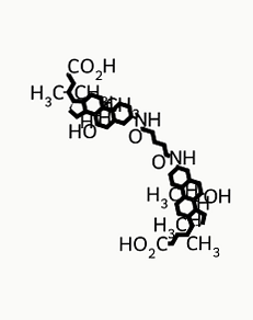 C[C@H](CCC(=O)O)[C@H]1CC[C@H]2[C@@H]3[C@@H](O)CC4C[C@H](NC(=O)CCCC(=O)N[C@@H]5CC[C@@]6(C)C(C5)C[C@H](O)[C@H]5[C@@H]7CC[C@H]([C@H](C)CCC(=O)O)[C@@]7(C)CC[C@@H]56)CC[C@]4(C)[C@H]3CC[C@]12C